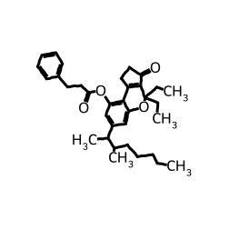 CCCCCC(C)C(C)c1cc(OC(=O)CCc2ccccc2)c2c(c1)OC(CC)(CC)C1=C2CCC1=O